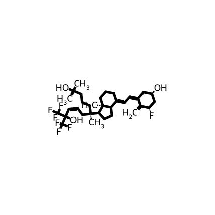 C=C1/C(=C\C=C2/CCC[C@@]3(C)C2CCC3[C@@](C)(C/C=C\C(O)(C(F)(F)F)C(F)(F)F)CCCC(C)(C)O)C[C@@H](O)C[C@@H]1F